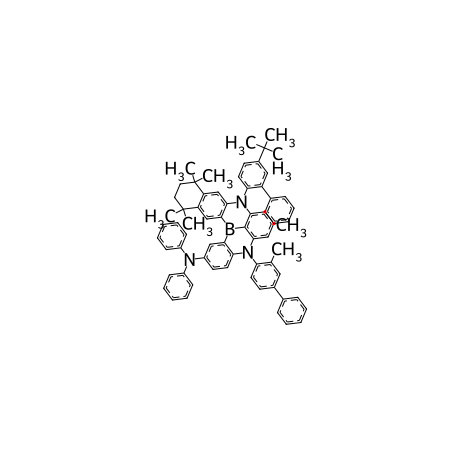 Cc1cc2c3c(c1)N(c1ccc(C(C)(C)C)cc1-c1ccccc1)c1cc4c(cc1B3c1cc(N(c3ccccc3)c3ccccc3)ccc1N2c1ccc(-c2ccccc2)cc1C)C(C)(C)CCC4(C)C